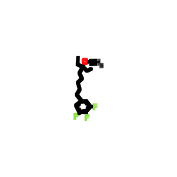 CCC(CC)(CCCCCc1cc(F)c(F)c(F)c1)O[SiH3]